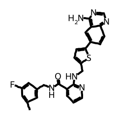 Cc1cc(F)cc(CNC(=O)c2cccnc2NCc2ccc(-c3ccc4ncnc(N)c4c3)s2)c1